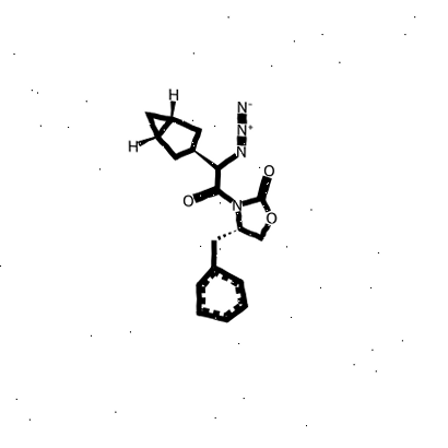 [N-]=[N+]=NC(C(=O)N1C(=O)OC[C@@H]1Cc1ccccc1)[C@H]1C[C@@H]2C[C@@H]2C1